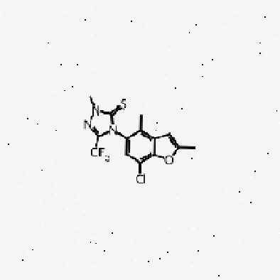 Cc1cc2c(C)c(-n3c(C(F)(F)F)nn(C)c3=S)cc(Cl)c2o1